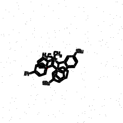 CC(C)c1ccc([C](C2CCCCC2)=[Zr]([CH3])([CH3])([CH]2C=CC=C2)[CH]2c3cc(C(C)(C)C)ccc3-c3ccc(C(C)(C)C)cc32)cc1